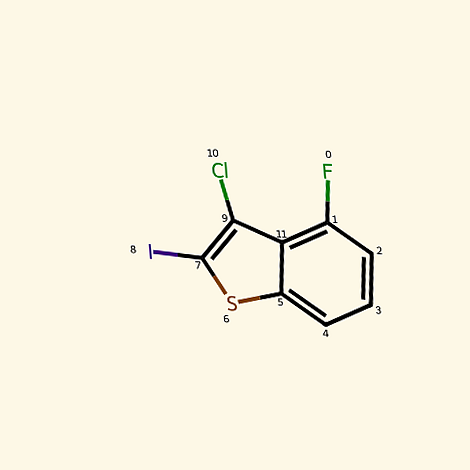 Fc1cccc2sc(I)c(Cl)c12